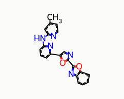 Cc1ccnc(Nc2cccc(-c3cnc(-c4nc5ccccc5o4)o3)n2)c1